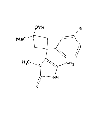 COC1(OC)CC(c2cccc(Br)c2)(c2c(C)[nH]c(=S)n2C)C1